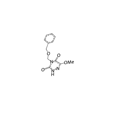 COc1n[nH]c(=O)n(COCc2ccccc2)c1=O